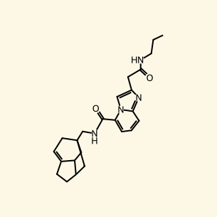 CCCNC(=O)Cc1cn2c(C(=O)NCC34CC=C5CCC(C3)C5C4)cccc2n1